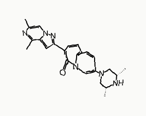 Cc1cn2nc(C3=C\C(=O)N4C=C(N5C[C@@H](C)N[C@@H](C)C5)C=C\C4=C/C=C/3)cc2c(C)n1